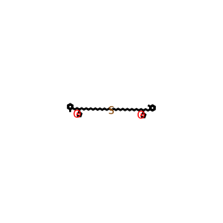 Cc1ccccc1CCC(CCCCCCCCCCCCCSCCCCCCCCCCCCCC(CCc1ccccc1C)C1CCCO1)C1CCCO1